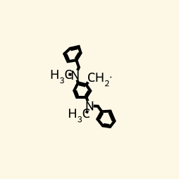 [CH2]c1cc(N(C)Cc2ccccc2)ccc1N(C)Cc1ccccc1